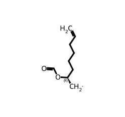 [CH2][C@H](CCCCC=C)OC=O